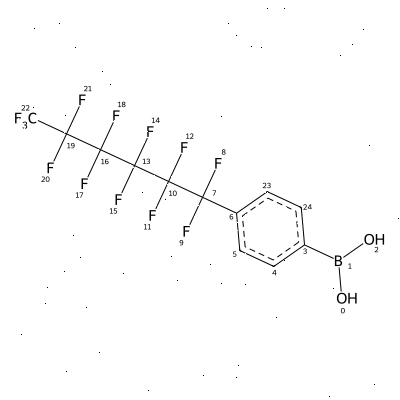 OB(O)c1ccc(C(F)(F)C(F)(F)C(F)(F)C(F)(F)C(F)(F)C(F)(F)F)cc1